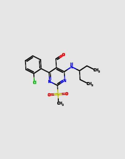 CCC(CC)Nc1nc(S(C)(=O)=O)nc(-c2ccccc2Cl)c1C=O